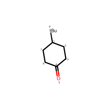 CC(C)(C)C1C[CH]C(=O)CC1